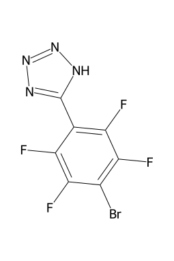 Fc1c(F)c(-c2nnn[nH]2)c(F)c(F)c1Br